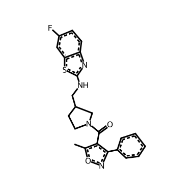 Cc1onc(-c2ccccc2)c1C(=O)N1CCC(CNc2nc3ccc(F)cc3s2)C1